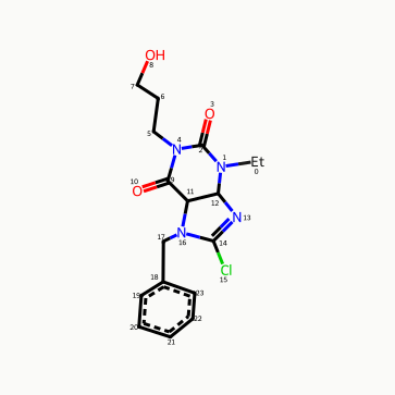 CCN1C(=O)N(CCCO)C(=O)C2C1N=C(Cl)N2Cc1ccccc1